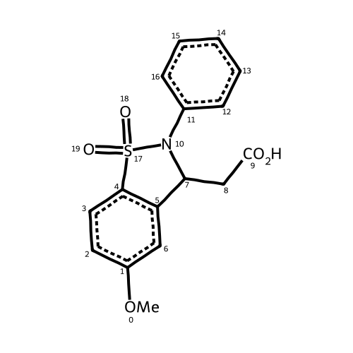 COc1ccc2c(c1)C(CC(=O)O)N(c1ccccc1)S2(=O)=O